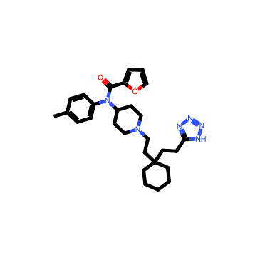 Cc1ccc(N(C(=O)c2ccco2)C2CCN(CCC3(CCc4nnn[nH]4)CCCCC3)CC2)cc1